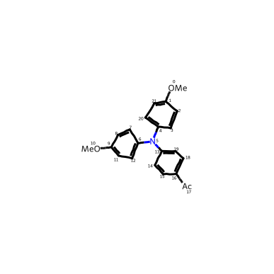 COc1ccc(N(c2ccc(OC)cc2)c2ccc(C(C)=O)cc2)cc1